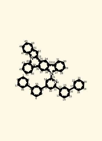 c1ccc(-c2cccc(-c3cc(-c4cccc(-c5ccccc5)c4)nc(-n4c5ccccc5c5cc6c(cc54)c4ccccc4n4c5ccccc5cc64)c3)c2)cc1